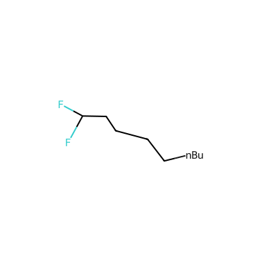 [CH2]CCCCCCCC(F)F